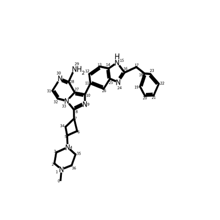 CN1CCN(C2CC(c3nc(-c4ccc5[nH]c(Cc6ccccc6)nc5c4)c4c(N)nccn34)C2)CC1